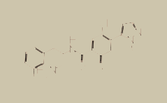 Cn1nccc1C1=C(Cl)C=C(C(=O)N[C@H](CN)Cc2cccc(F)c2)C(=S)C1